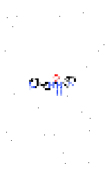 O=C(NC1CC2CCN(C2)C1)n1ccc(-c2cccnc2)c1